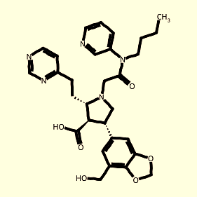 CCCCN(C(=O)CN1C[C@H](c2cc(CO)c3c(c2)OCO3)[C@@H](C(=O)O)[C@@H]1CCc1ccncn1)c1cccnc1